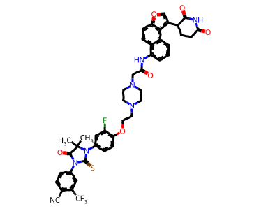 CC1(C)C(=O)N(c2ccc(C#N)c(C(F)(F)F)c2)C(=S)N1c1ccc(OCCN2CCN(CC(=O)Nc3cccc4c3ccc3occ(C5CCC(=O)NC5=O)c34)CC2)c(F)c1